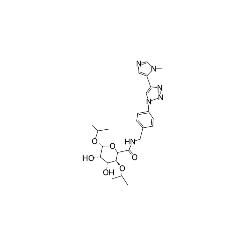 CC(C)O[C@@H]1OC(C(=O)NCc2ccc(-n3cc(-c4cncn4C)nn3)cc2)[C@@H](OC(C)C)[C@H](O)[C@@H]1O